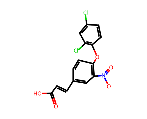 O=C(O)/C=C/c1ccc(Oc2ccc(Cl)cc2Cl)c([N+](=O)[O-])c1